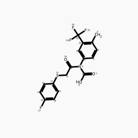 Cc1ccc(N(C(=O)O)C(=O)CSc2ccc(F)cc2)cc1C(F)(F)F